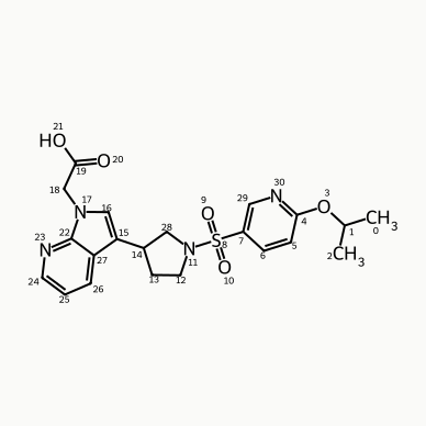 CC(C)Oc1ccc(S(=O)(=O)N2CCC(c3cn(CC(=O)O)c4ncccc34)C2)cn1